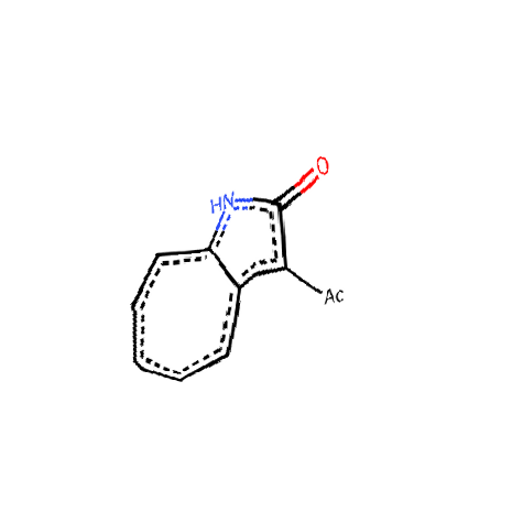 CC(=O)c1c2cccccc-2[nH]c1=O